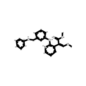 CO/C=C(\C(=O)OC)c1cccnc1Oc1cccc(COc2ccccc2)c1